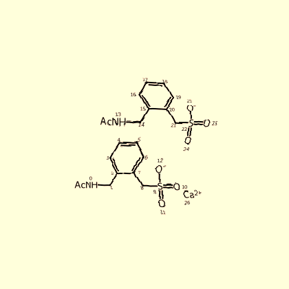 CC(=O)NCc1ccccc1CS(=O)(=O)[O-].CC(=O)NCc1ccccc1CS(=O)(=O)[O-].[Ca+2]